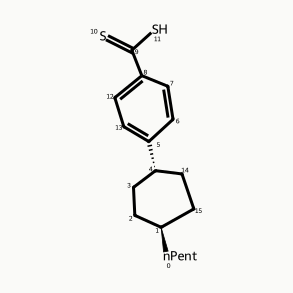 CCCCC[C@H]1CC[C@H](c2ccc(C(=S)S)cc2)CC1